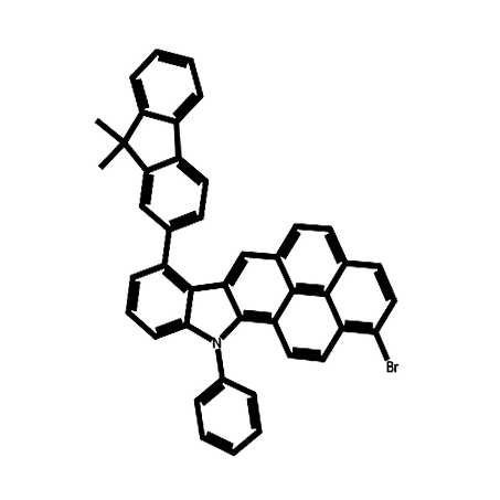 CC1(C)c2ccccc2-c2ccc(-c3cccc4c3c3cc5ccc6ccc(Br)c7ccc(c5c67)c3n4-c3ccccc3)cc21